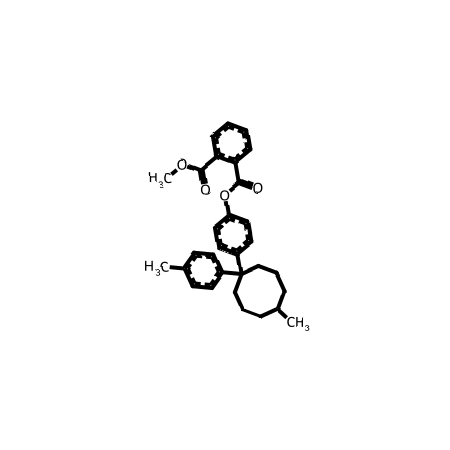 COC(=O)c1ccccc1C(=O)Oc1ccc(C2(c3ccc(C)cc3)CCCC(C)CCC2)cc1